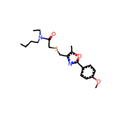 CCCCN(CC)C(=O)CSCc1nc(-c2ccc(OC)cc2)oc1C